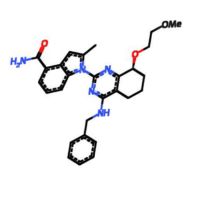 COCCO[C@H]1CCCc2c(NCc3ccccc3)nc(-n3c(C)cc4c(C(N)=O)cccc43)nc21